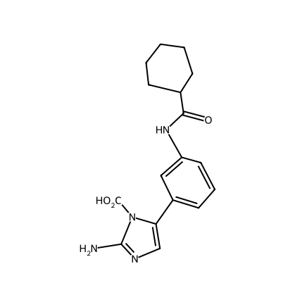 Nc1ncc(-c2cccc(NC(=O)C3CCCCC3)c2)n1C(=O)O